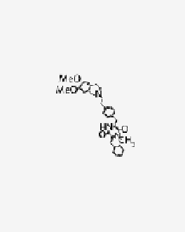 COc1cc2c(cc1OC)CN(CCc1ccc(C=c3[nH]c(=O)c(=Cc4ccccc4)n(C)c3=O)cc1)CC2